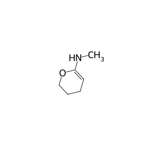 CNC1=CCCCO1